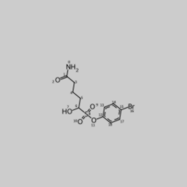 NC(=O)CCCC(O)S(=O)(=O)Oc1ccc(Br)cc1